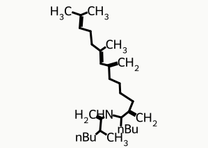 C=C(/C=C(\C)CCC=C(C)C)CCCCC(=C)C(CCCC)NC(=C)C(C)CCCC